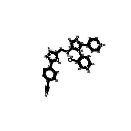 N#Cc1ccc(-c2nnc(CSc3nnc(-c4ccncc4)n3-c3ccncc3Cl)o2)cc1